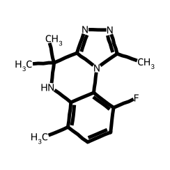 Cc1ccc(F)c2c1NC(C)(C)c1nnc(C)n1-2